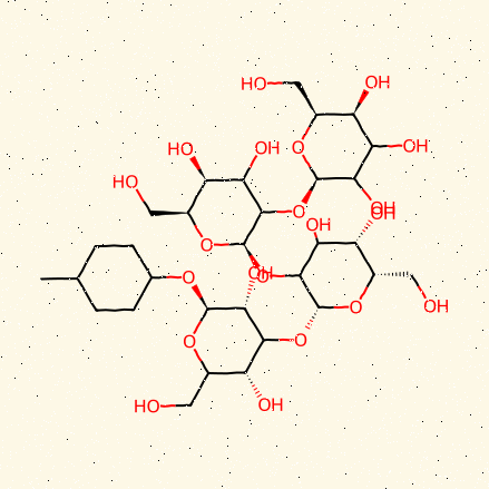 CC1CCC(O[C@@H]2OC(CO)[C@@H](O)C(O[C@H]3O[C@@H](CO)[C@@H](O)C(O)C3O[C@H]3O[C@@H](CO)[C@@H](O)C(O)C3O[C@H]3O[C@@H](CO)[C@@H](O)C(O)C3O)[C@H]2O)CC1